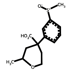 CC1CC(C(=O)O)(c2cccc([S+](C)[O-])c2)CCO1